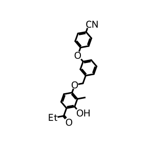 CCC(=O)c1ccc(OCc2cccc(Oc3ccc(C#N)cc3)c2)c(C)c1O